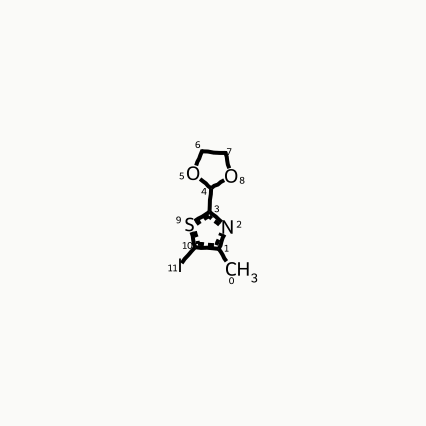 Cc1nc(C2OCCO2)sc1I